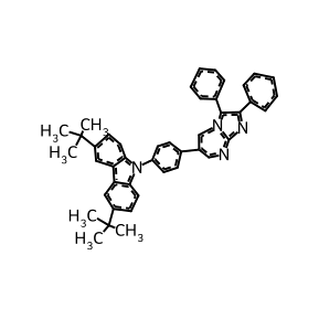 CC(C)(C)c1ccc2c(c1)c1cc(C(C)(C)C)ccc1n2-c1ccc(-c2cnc3nc(-c4ccccc4)c(-c4ccccc4)n3c2)cc1